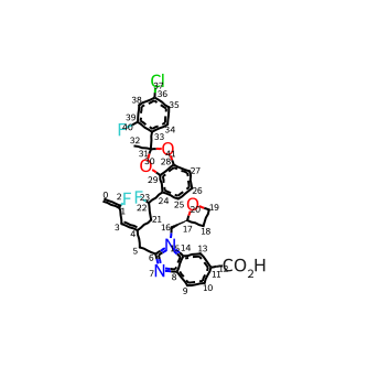 C=C(F)/C=C(/Cc1nc2ccc(C(=O)O)cc2n1C[C@@H]1CCO1)CC(F)c1cccc2c1OC(C)(c1ccc(Cl)cc1F)O2